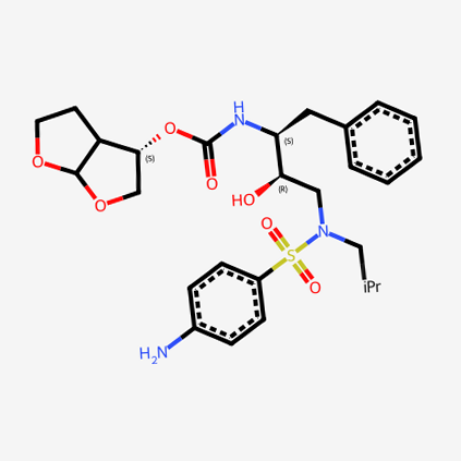 CC(C)CN(C[C@@H](O)[C@H](Cc1ccccc1)NC(=O)O[C@@H]1COC2OCCC21)S(=O)(=O)c1ccc(N)cc1